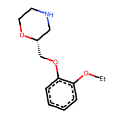 CCOc1ccccc1OC[C@H]1CNCCO1